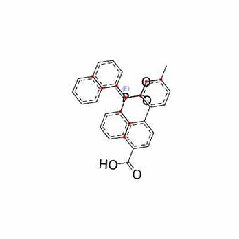 CCOC(=O)/C(=C/c1ccccc1)Cc1cc(C(=O)O)ccc1-c1ccccc1P(c1ccccc1)c1ccccc1